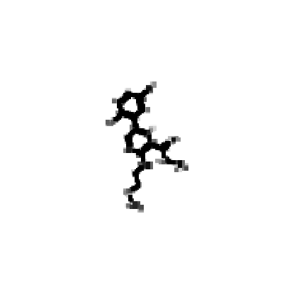 COCCNc1ncc(-c2cc(Br)ccc2F)nc1C(=O)OC